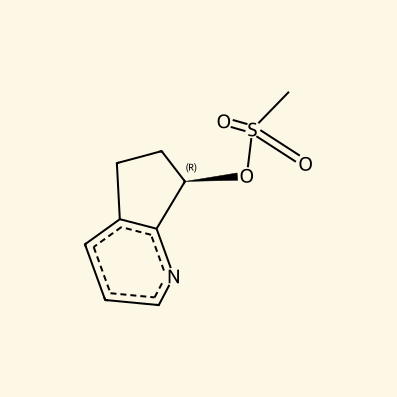 CS(=O)(=O)O[C@@H]1CCc2cccnc21